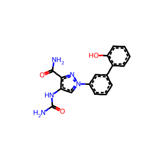 NC(=O)Nc1cn(-c2cccc(-c3ccccc3O)c2)nc1C(N)=O